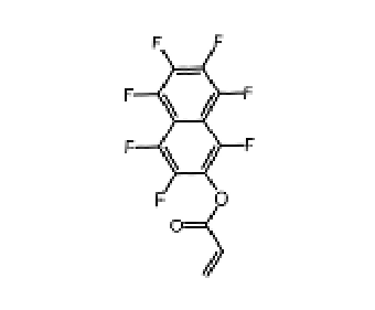 C=CC(=O)Oc1c(F)c(F)c2c(F)c(F)c(F)c(F)c2c1F